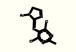 CC(=O)N1CC=NC1=Nc1c(Cl)nc(C)nc1Cl